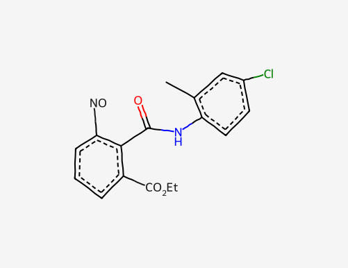 CCOC(=O)c1cccc(N=O)c1C(=O)Nc1ccc(Cl)cc1C